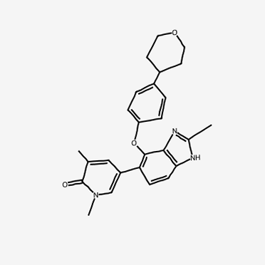 Cc1nc2c(Oc3ccc(C4CCOCC4)cc3)c(-c3cc(C)c(=O)n(C)c3)ccc2[nH]1